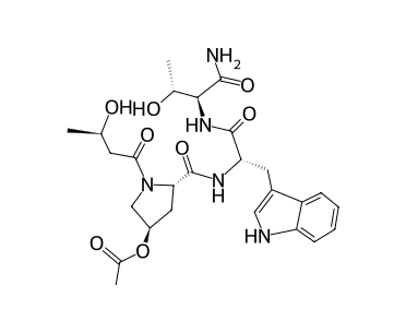 CC(=O)O[C@@H]1C[C@@H](C(=O)N[C@@H](Cc2c[nH]c3ccccc23)C(=O)N[C@H](C(N)=O)[C@@H](C)O)N(C(=O)C[C@@H](C)O)C1